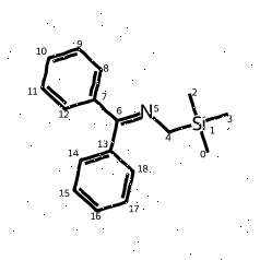 C[Si](C)(C)CN=C(c1ccccc1)c1ccccc1